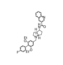 CCOc1cc(CN2CC[C@H]3C(NC(=O)c4cnc5ccccc5c4)CC[C@H]32)cc(OCC)c1-c1ccc(F)cc1